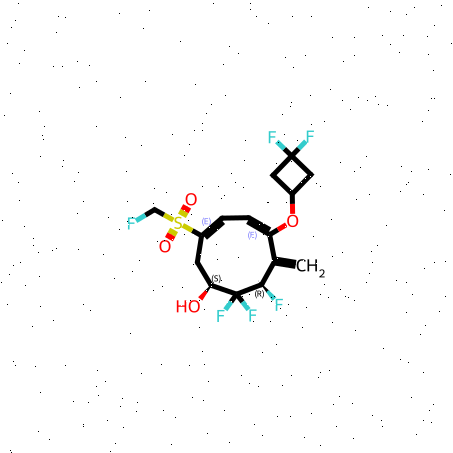 C=C1/C(OC2CC(F)(F)C2)=C\C=C(\S(=O)(=O)CF)C[C@H](O)C(F)(F)[C@@H]1F